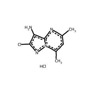 Cc1cc(C)n2nc(Cl)c(N)c2n1.Cl